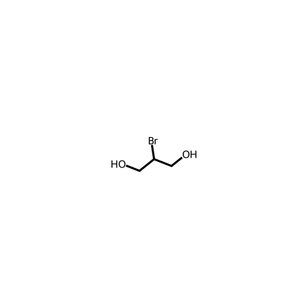 OCC(Br)CO